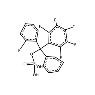 O=P(O)(O)OC(c1ccccc1)(c1ccccc1F)c1c(F)c(F)c(F)c(F)c1F